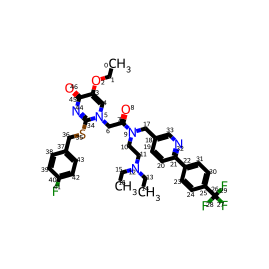 CCOc1cn(CC(=O)N(CCN(CC)CC)Cc2ccc(-c3ccc(C(F)(F)F)cc3)nc2)c(SCc2ccc(F)cc2)nc1=O